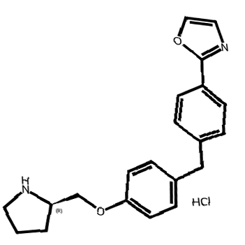 Cl.c1coc(-c2ccc(Cc3ccc(OC[C@H]4CCCN4)cc3)cc2)n1